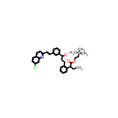 CCC(C(=O)OCC[Si](C)(C)C)c1ccccc1CCC(=O)c1cccc(C=Cc2ccc3ccc(Cl)cc3n2)c1